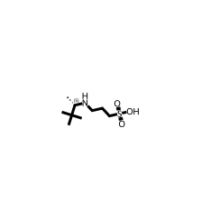 C[C@H](NCCCS(=O)(=O)O)C(C)(C)C